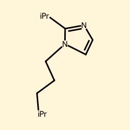 CC(C)CCCn1ccnc1C(C)C